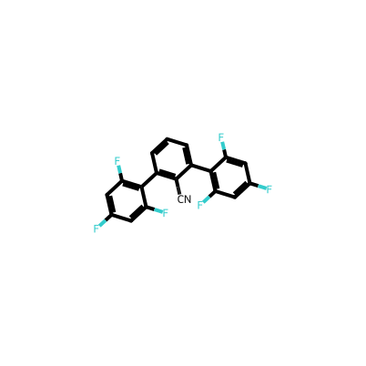 N#Cc1c(-c2c(F)cc(F)cc2F)cccc1-c1c(F)cc(F)cc1F